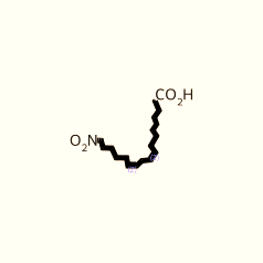 O=C(O)CCCCCCC/C=C\C/C=C\CCCCC[N+](=O)[O-]